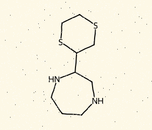 C1CNCC(C2CSCCS2)NC1